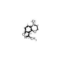 CCN1CCOc2c1ccc1onc(C)c21